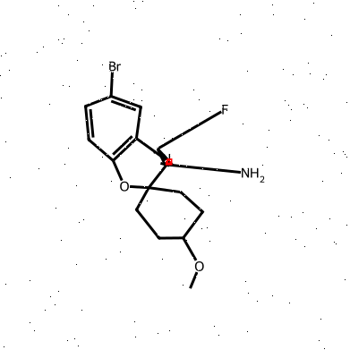 COC1CCC2(CC1)Oc1ccc(Br)cc1C21C=C(F)C(N)=N1